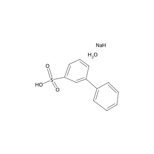 O.O=S(=O)(O)c1cccc(-c2ccccc2)c1.[NaH]